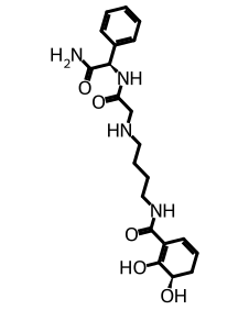 NC(=O)[C@H](NC(=O)CNCCCCNC(=O)C1=C(O)[C@H](O)CC=C1)c1ccccc1